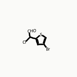 O=CC(Cl)c1cc(Br)cs1